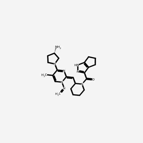 C=NN1C=C(C)C(N2CC[C@H](N)C2)=N/C1=C/C1CCCCN1C(=O)c1n[nH]c2c1CCC2